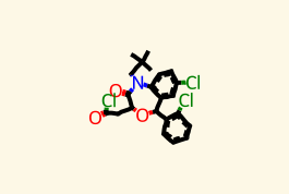 CC(C)(C)CN1C(=O)C(CC(=O)Cl)OC(c2ccccc2Cl)c2cc(Cl)ccc21